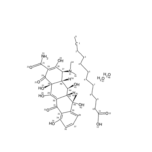 CCCCCCCCCCCC(=O)O.CN(C)[C@@H]1C(O)=C(C(N)=O)C(=O)[C@@]2(O)C(O)=C3C(=O)c4c(O)cccc4[C@@](C)(O)[C@H]3[C@H](O)[C@@H]12.O.O